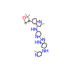 Cc1cc(Nc2ccc3nc(-c4ccc(Nc5cc(C)nc6ccc([C@]7(C)CC(C)(C)OC[C@H]7C)cc56)cn4)[nH]c3c2)ccn1